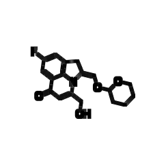 O=c1cc(CO)n2c3c(cc(F)cc13)CC2=COC1CCCCO1